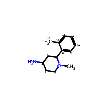 CN1CCC(N)CC1c1ccccc1C(F)(F)F